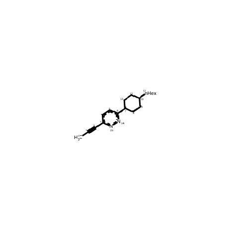 CC#Cc1ccc(C2CCC(CCCCCC)CC2)nn1